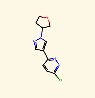 Clc1ccc(-c2cnn(C3CCOC3)c2)nn1